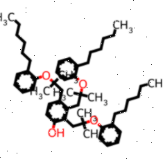 CCCCCCc1ccccc1OC(C)(C)Cc1ccc(O)c(CC(C)(C)Oc2ccccc2CCCCCC)c1CC(C)(C)Oc1ccccc1CCCCCC